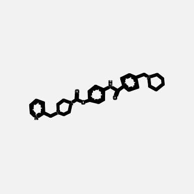 O=C(Nc1ccc(OC(=O)N2CCN(Cc3ccccn3)CC2)cc1)c1ccc(CN2CCCCC2)cc1